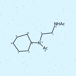 CC(=O)NCCN(C(C)=O)C1CCCCC1